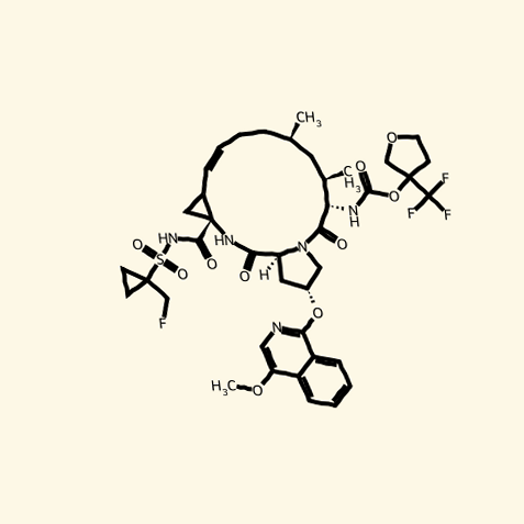 COc1cnc(O[C@@H]2C[C@H]3C(=O)N[C@]4(C(=O)NS(=O)(=O)C5(CF)CC5)CC4/C=C\CC[C@@H](C)C[C@@H](C)[C@H](NC(=O)OC4(C(F)(F)F)CCOC4)C(=O)N3C2)c2ccccc12